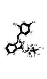 O=S(=O)(Oc1nn(Cc2ccc(F)cc2F)c2ccccc12)C(F)(F)F